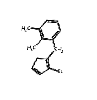 CCC1=C([SiH2]c2cccc(C)c2C)CC=C1